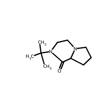 CC(C)(C)N1CCN2CCCC2C1=O